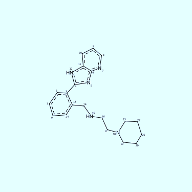 c1ccc(-c2nc3ncccc3[nH]2)c(CNCCN2CCCCC2)c1